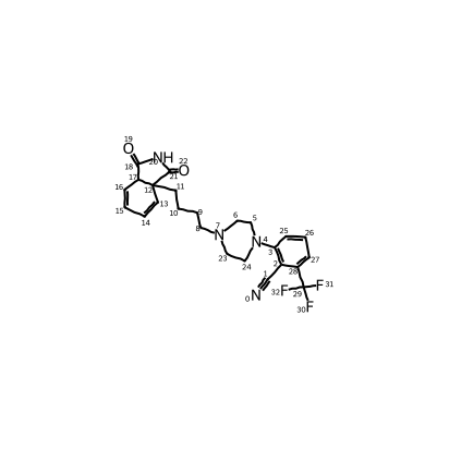 N#Cc1c(N2CCN(CCCCC34C=CC=CC3C(=O)NC4=O)CC2)cccc1C(F)(F)F